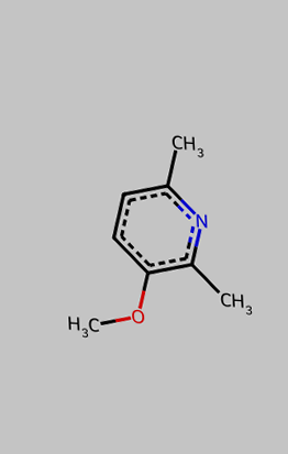 COc1ccc(C)nc1C